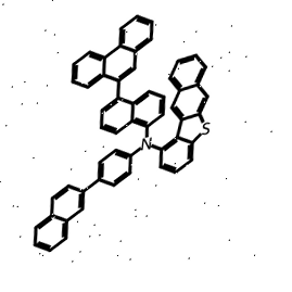 c1ccc2cc(-c3ccc(N(c4cccc5c(-c6cc7ccccc7c7ccccc67)cccc45)c4cccc5sc6cc7ccccc7cc6c45)cc3)ccc2c1